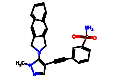 Cn1ncc(C#Cc2cccc(S(N)(=O)=O)c2)c1N1Cc2cc3ccccc3cc2C1